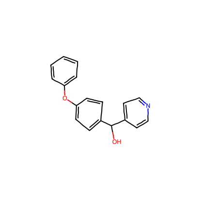 OC(c1ccncc1)c1ccc(Oc2ccccc2)cc1